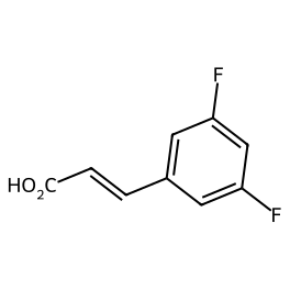 O=C(O)C=Cc1cc(F)cc(F)c1